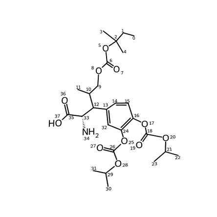 CCC(C)(C)OC(=O)OCC(C)C(c1ccc(OC(=O)OC(C)C)c(OC(=O)OC(C)C)c1)[C@H](N)C(=O)O